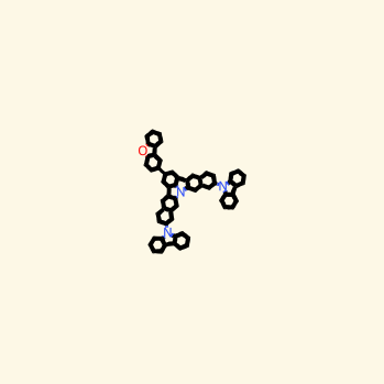 c1ccc2c(c1)oc1ccc(-c3cc4c5cc6ccc(-n7c8ccccc8c8ccccc87)cc6cc5n5c6cc7cc(-n8c9ccccc9c9ccccc98)ccc7cc6c(c3)c45)cc12